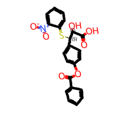 O=C(Oc1ccc([C@H](Sc2ccccc2[N+](=O)[O-])[C@@H](O)C(=O)O)cc1)c1ccccc1